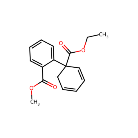 CCOC(=O)C1(c2ccccc2C(=O)OC)[CH]C=CC=C1